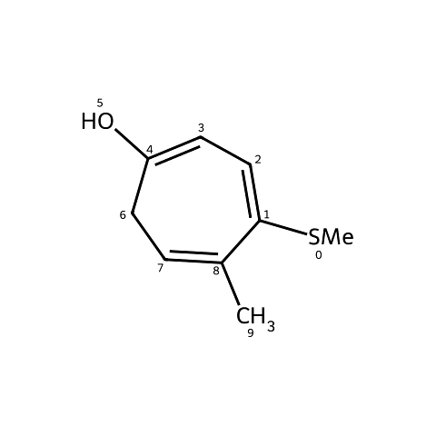 CSC1=CC=C(O)CC=C1C